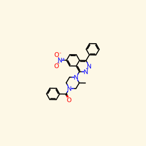 CC1CN(C(=O)c2ccccc2)CCN1c1nnc(-c2ccccc2)c2ccc([N+](=O)[O-])cc12